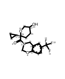 O=C(N1COc2ccc(C(F)(F)F)cc2C1)[C@@]1(C2CC2)CCC(O)CO1